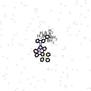 Bc1c(B)c(B)c(-c2ccc3c(c2)c2ccccc2n3-c2ccc3c(c2)c2ccccc2n3-c2c(-c3ccccc3)cc(S(c3ccccc3)(c3ccccc3)c3ccccc3)cc2-c2ccccc2)c(B)c1B